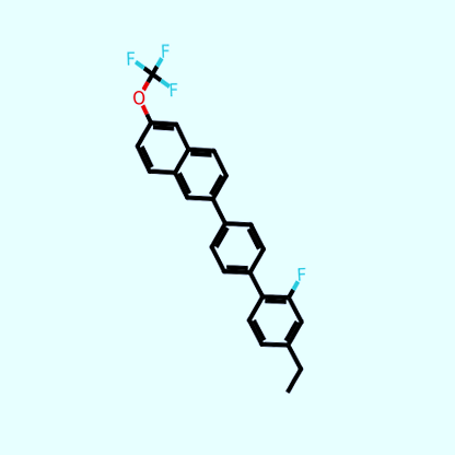 CCc1ccc(-c2ccc(-c3ccc4cc(OC(F)(F)F)ccc4c3)cc2)c(F)c1